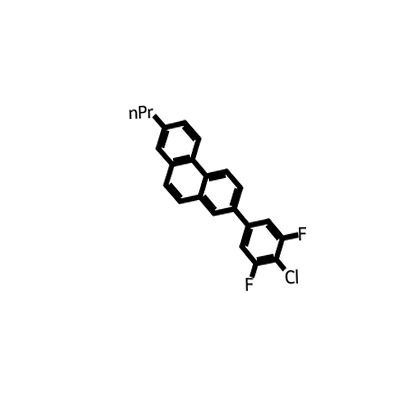 CCCc1ccc2c(ccc3cc(-c4cc(F)c(Cl)c(F)c4)ccc32)c1